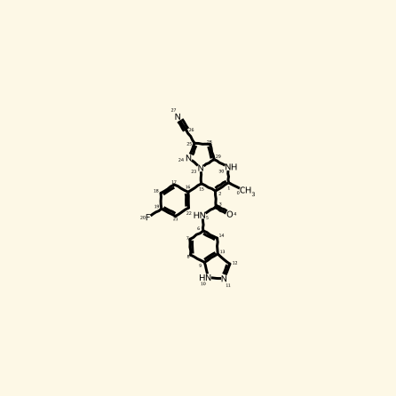 CC1=C(C(=O)Nc2ccc3[nH]ncc3c2)C(c2ccc(F)cc2)n2nc(C#N)cc2N1